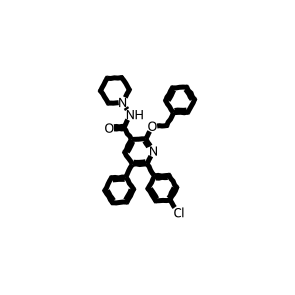 O=C(NN1CCCCC1)c1cc(-c2ccccc2)c(-c2ccc(Cl)cc2)nc1OCc1ccccc1